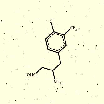 CC(CC=O)Cc1ccc(Cl)c(C(F)(F)F)c1